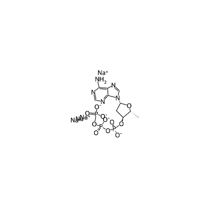 C[C@H]1O[C@@H](n2cnc3c(N)ncnc32)C[C@@H]1OP(=O)([O-])OP(=O)([O-])OP(=O)([O-])[O-].[Na+].[Na+].[Na+].[Na+]